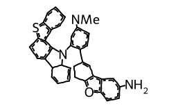 CNc1ccc(C2=Cc3c(oc4ccc(N)cc34)CC2)c(N2c3c(ccc4sc5ccccc5c34)C3C=CC=CC32)c1